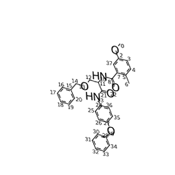 COc1ccc(C)c(C(=O)NC(COCc2ccccc2)C(=O)Nc2ccc(Oc3ccccc3)cc2)c1